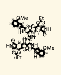 CCC(=O)OCC(=O)[C@H](C[C@@H]1CCNC1=O)NC(=O)[C@H](CC(C)C)NC(=O)c1cc2c(OC)cccc2[nH]1.COc1cccc2[nH]c(C(=O)N[C@@H](CC(C)C)C(=O)N[C@@H](C[C@@H]3CCNC3=O)C(=O)COC(=O)C(C)C)cc12